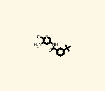 CC(C)(C)c1cccc(C(=O)Nc2cnc(Cl)c(N)c2)c1